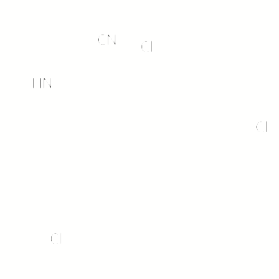 N#Cc1[nH]c2ccc(Cl)cc2c1-c1ccc(Cl)cc1Cl